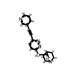 C(#Cc1ccc(OC2CN3CCC2CC3)nn1)c1cccnc1